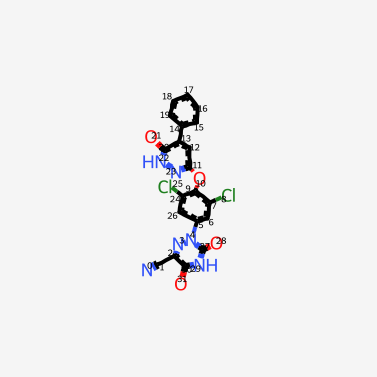 N#Cc1nn(-c2cc(Cl)c(Oc3cc(-c4ccccc4)c(=O)[nH]n3)c(Cl)c2)c(=O)[nH]c1=O